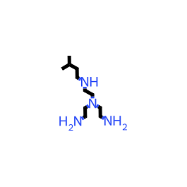 CC(C)CCNCCN(CCN)CCN